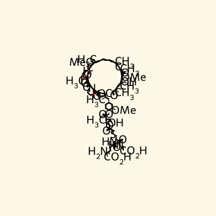 CO[C@H]1C[C@@H]2CC[C@@H](C)[C@@H](O2)C(=O)C(=O)N2CCCC[C@H]2C(=O)OC([C@H](C)C[C@@H]2CC[C@@H](OC(=O)C(C)(CO)COC(=O)CSC[C@H](NC(=O)CC[C@H](N)C(=O)O)C(=O)NCC(=O)O)[C@H](OC)C2)CC(=O)[C@H](C)/C=C(\C)[C@@H](O)[C@@H](OC)C(=O)[C@H](C)C[C@@H](C)\C=C/C=C/C=C/1C